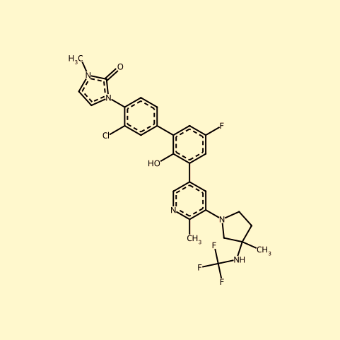 Cc1ncc(-c2cc(F)cc(-c3ccc(-n4ccn(C)c4=O)c(Cl)c3)c2O)cc1N1CCC(C)(NC(F)(F)F)C1